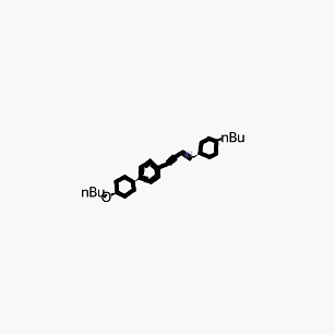 CCCCO[C@H]1CC[C@H](c2ccc(C#C/C=C/[C@H]3CC[C@H](CCCC)CC3)cc2)CC1